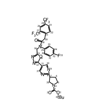 CC(C)(C)OC(=O)N1CCC(c2ncc(-c3nnc(CN(C(=O)Cc4ccc(C(F)(F)F)cc4C(F)(F)F)c4ccc(F)cc4)o3)cn2)C1